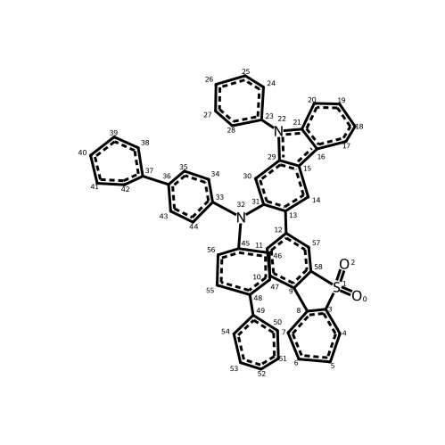 O=S1(=O)c2ccccc2-c2ccc(-c3cc4c5ccccc5n(-c5ccccc5)c4cc3N(c3ccc(-c4ccccc4)cc3)c3ccc(-c4ccccc4)cc3)cc21